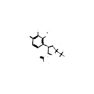 COc1c(C2CC(C)(C(F)(F)F)O[C@H]2C(=O)O)ccc(F)c1F